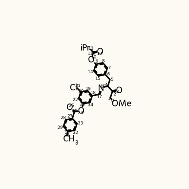 COCC(=O)C(Cc1ccc(OC(=O)C(C)C)cc1)N=Cc1cc(Cl)cc(OC(=O)c2ccc(C)cc2)c1